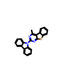 Cc1nc(-n2c3ccccc3c3ccccc32)nc2sc3ccccc3c12